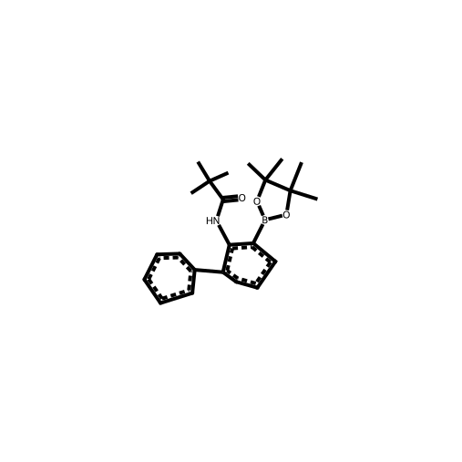 CC(C)(C)C(=O)Nc1c(B2OC(C)(C)C(C)(C)O2)cccc1-c1ccccc1